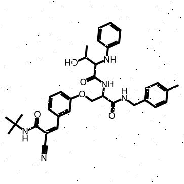 Cc1ccc(CNC(=O)C(COc2cccc(C=C(C#N)C(=O)NC(C)(C)C)c2)NC(=O)C(Nc2ccccc2)C(C)O)cc1